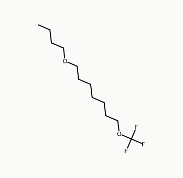 CCCCOCCCCCCCOC(F)(F)F